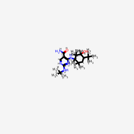 BC(B)(B)C1CC(B)(B)C(B)(Nc2nc(NC(C)(C)C)ncc2C(N)=O)C(B)(B)C1(B)O